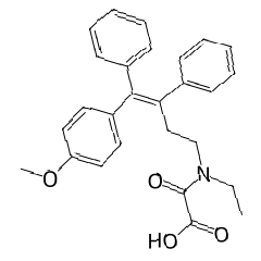 CCN(CCC(=C(c1ccccc1)c1ccc(OC)cc1)c1ccccc1)C(=O)C(=O)O